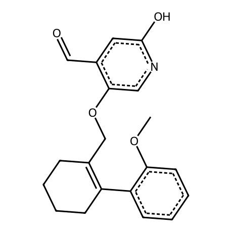 COc1ccccc1C1=C(COc2cnc(O)cc2C=O)CCCC1